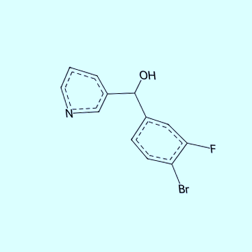 OC(c1cccnc1)c1ccc(Br)c(F)c1